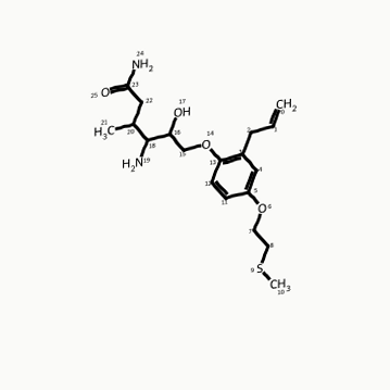 C=CCc1cc(OCCSC)ccc1OCC(O)C(N)C(C)CC(N)=O